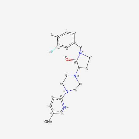 Cc1ccc(CN2CCC(N3CCN(c4ccc(N=O)cn4)CC3)C2=O)cc1F